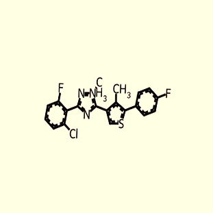 Cc1c(-c2nc(-c3c(F)cccc3Cl)nn2C)csc1-c1ccc(F)cc1